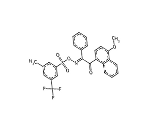 COc1ccc(C(=O)/C(=N/OS(=O)(=O)c2cc(C)cc(C(F)(F)F)c2)c2ccccc2)c2ccccc12